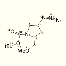 COCC1CC(N=[N+]=[N-])CN1C(=O)OC(C)(C)C